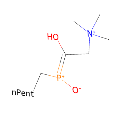 CCCCCC/[P+]([O-])=C(\O)C[N+](C)(C)C